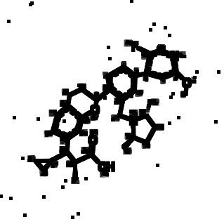 COc1cc(-c2ccc(C3CCc4ccc(C(C5CC5)[C@H](C)C(=O)O)cc4O3)c(CN3[C@H](C)CC[C@H]3C)c2)c(F)cn1